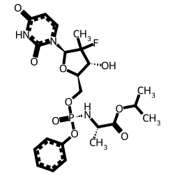 CC(C)OC(=O)[C@H](C)N[P@](=O)(OC[C@H]1O[C@@H](n2ccc(=O)[nH]c2=O)C(C)(F)[C@@H]1O)Oc1ccccc1